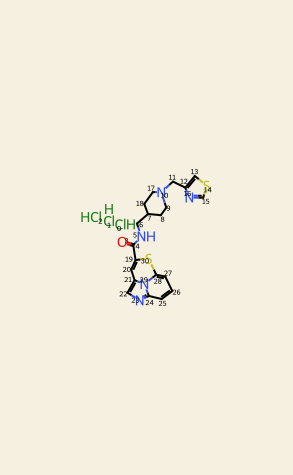 Cl.Cl.Cl.O=C(NCC1CCN(Cc2cscn2)CC1)C1=Cc2cnc3cccc(n23)S1